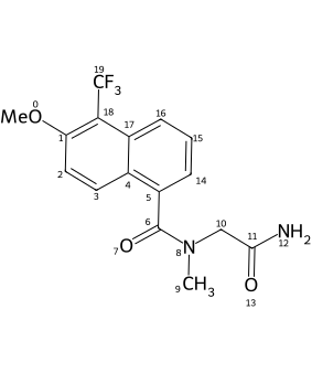 COc1ccc2c(C(=O)N(C)CC(N)=O)cccc2c1C(F)(F)F